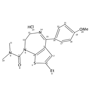 CCc1cc2c(s1)N(C(=O)N(C)C)CCN=C2c1ccc(OC)cc1.Cl